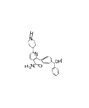 NC(=O)c1ccc(C2CCNCC2)nc1-c1ccc(C(O)c2ccccc2)cc1